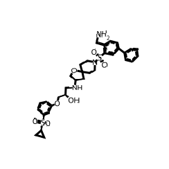 NCc1ccc(-c2ccccc2)cc1S(=O)(=O)N1CCC2(CC1)CC(NCC(O)COc1cccc(S(=O)(=O)C3CC3)c1)CO2